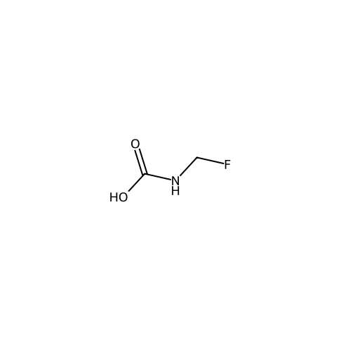 O=C(O)NCF